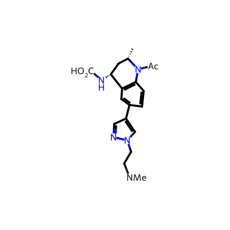 CNCCn1cc(-c2ccc3c(c2)[C@H](NC(=O)O)C[C@H](C)N3C(C)=O)cn1